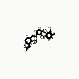 Cc1cc2c(s1)CCC(CNC1CCC(Oc3cccc(C)c3C)C1O)C2=O